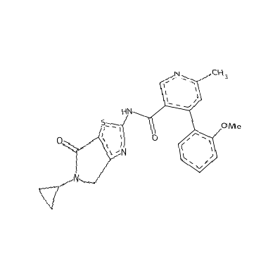 COc1ccccc1-c1cc(C)ncc1C(=O)Nc1nc2c(s1)C(=O)N(C1CC1)C2